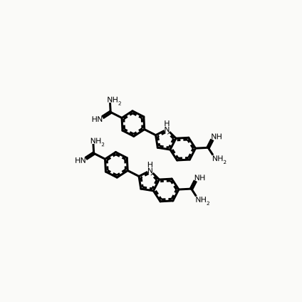 N=C(N)c1ccc(-c2cc3ccc(C(=N)N)cc3[nH]2)cc1.N=C(N)c1ccc(-c2cc3ccc(C(=N)N)cc3[nH]2)cc1